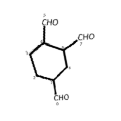 O=CC1CCC(C=O)C(C=O)C1